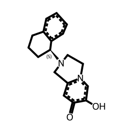 O=c1cc2n(cc1O)CCN([C@H]1CCCc3ccccc31)C2